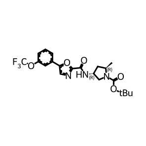 C[C@@H]1C[C@@H](NC(=O)c2ncc(-c3cccc(OC(F)(F)F)c3)o2)CN1C(=O)OC(C)(C)C